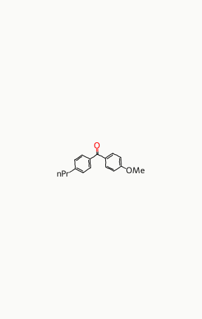 CCCc1ccc(C(=O)c2ccc(OC)cc2)cc1